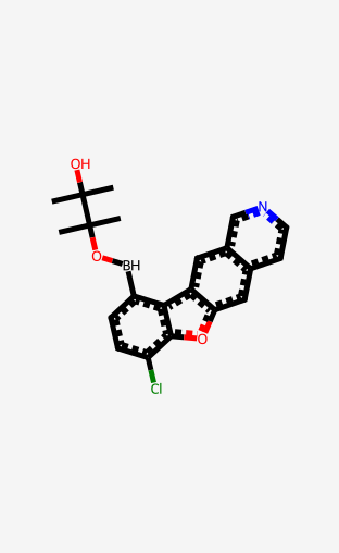 CC(C)(O)C(C)(C)OBc1ccc(Cl)c2oc3cc4ccncc4cc3c12